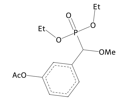 CCOP(=O)(OCC)C(OC)c1cccc(OC(C)=O)c1